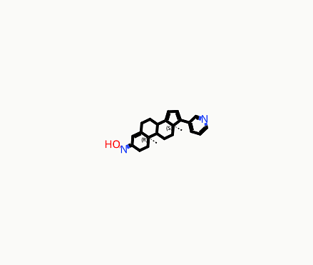 C[C@]12CCC3C(CCC4=CC(=NO)CC[C@@]43C)C1=CC=C2c1cccnc1